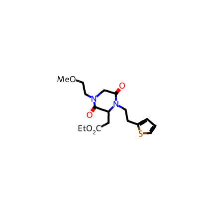 CCOC(=O)CC1C(=O)N(CCOC)CC(=O)N1CCc1cccs1